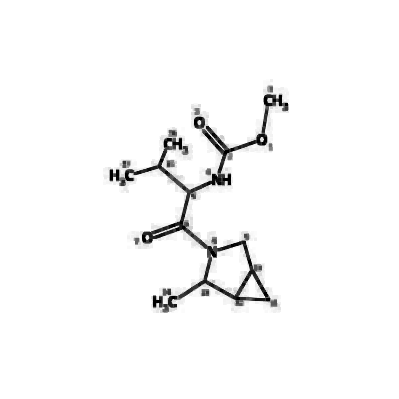 COC(=O)NC(C(=O)N1CC2CC2C1C)C(C)C